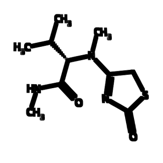 CNC(=O)[C@H](C(C)C)N(C)C1=NC(=O)SC1